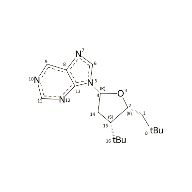 CC(C)(C)C[C@H]1O[C@@H](n2cnc3cncnc32)C[C@H]1C(C)(C)C